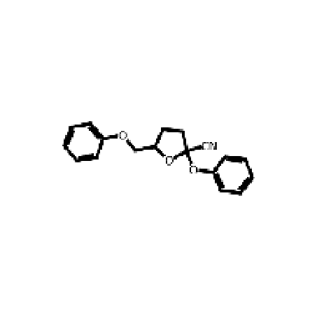 N#CC1(Oc2ccccc2)CCC(COc2ccccc2)O1